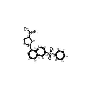 CCN(CC)C1CCN(c2cccc3cc(S(=O)(=O)c4ccccc4)cnc23)C1